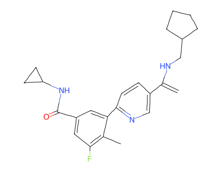 C=C(NCC1CCCC1)c1ccc(-c2cc(C(=O)NC3CC3)cc(F)c2C)nc1